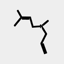 C=CCN(C)CC=C(C)C